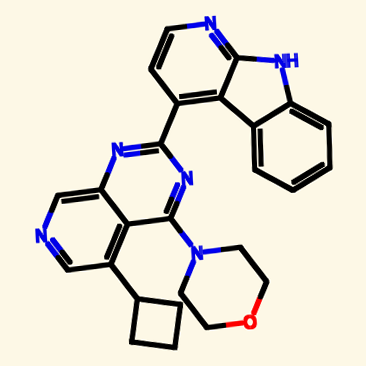 c1ccc2c(c1)[nH]c1nccc(-c3nc(N4CCOCC4)c4c(C5CCC5)cncc4n3)c12